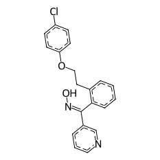 ON=C(c1cccnc1)c1ccccc1CCOc1ccc(Cl)cc1